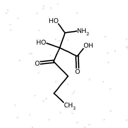 CCCC(=O)C(O)(C(=O)O)C(N)O